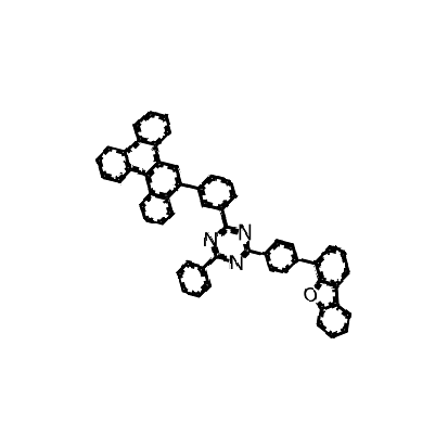 c1ccc(-c2nc(-c3ccc(-c4cccc5c4oc4ccccc45)cc3)nc(-c3cccc(-c4cc5c6ccccc6c6ccccc6c5c5ccccc45)c3)n2)cc1